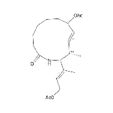 CC(=O)OC/C=C(\C)C1NC(=O)CCCCCC(OC(C)=O)/C=C/[C@@H]1C